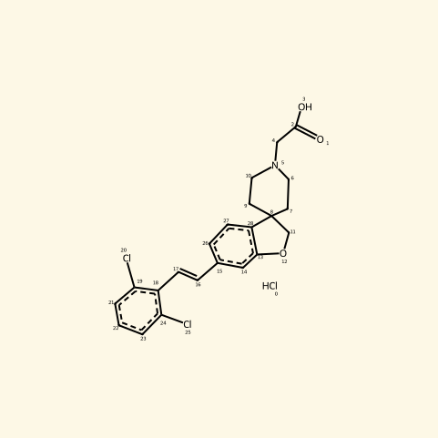 Cl.O=C(O)CN1CCC2(CC1)COc1cc(C=Cc3c(Cl)cccc3Cl)ccc12